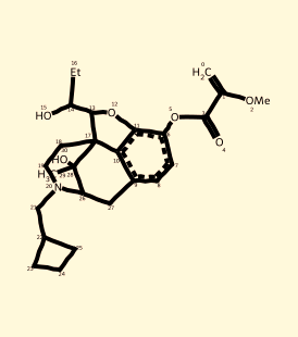 C=C(OC)C(=O)Oc1ccc2c3c1OC(C(O)CC)C31CCN(CC3CCC3)C(C2)C1(C)O